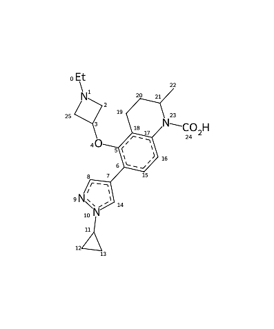 CCN1CC(Oc2c(-c3cnn(C4CC4)c3)ccc3c2CCC(C)N3C(=O)O)C1